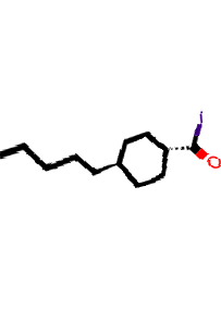 CCCCC[C@H]1CC[C@H](C(=O)I)CC1